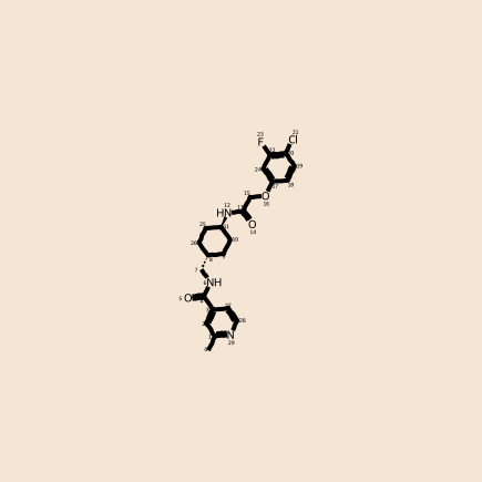 Cc1cc(C(=O)NC[C@H]2CC[C@H](NC(=O)COc3ccc(Cl)c(F)c3)CC2)ccn1